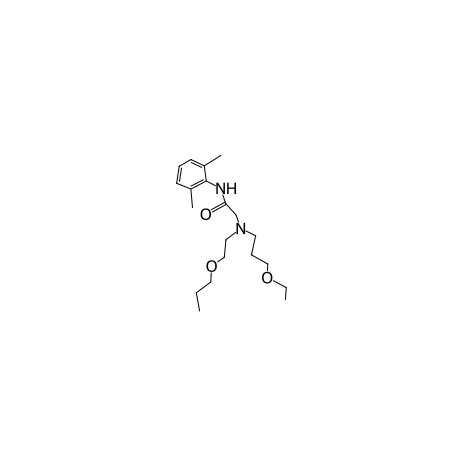 CCCOCCN(CCCOCC)CC(=O)Nc1c(C)cccc1C